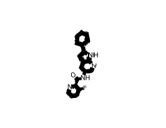 O=C(Nc1cnc2[nH]c(-c3ccccc3)cc2c1)c1ncccc1F